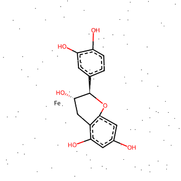 Oc1cc(O)c2c(c1)O[C@H](c1ccc(O)c(O)c1)[C@@H](O)C2.[Fe]